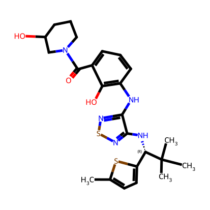 Cc1ccc([C@H](Nc2nsnc2Nc2cccc(C(=O)N3CCCC(O)C3)c2O)C(C)(C)C)s1